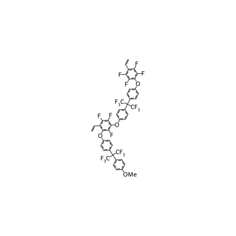 C=Cc1c(F)c(F)c(Oc2ccc(C(c3ccc(Oc4c(F)c(F)c(C=C)c(Oc5ccc(C(c6ccc(OC)cc6)(C(F)(F)F)C(F)(F)F)cc5)c4F)cc3)(C(F)(F)F)C(F)(F)F)cc2)c(F)c1F